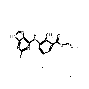 CCOC(=O)c1cccc(Nc2nc(Cl)nc3[nH]cnc23)c1C